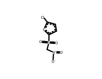 O=[N+]([O-])CS(=O)(=O)c1ccc(Cl)s1